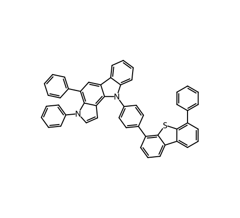 c1ccc(-c2cccc3c2sc2c(-c4ccc(-n5c6ccccc6c6cc(-c7ccccc7)c7c(ccn7-c7ccccc7)c65)cc4)cccc23)cc1